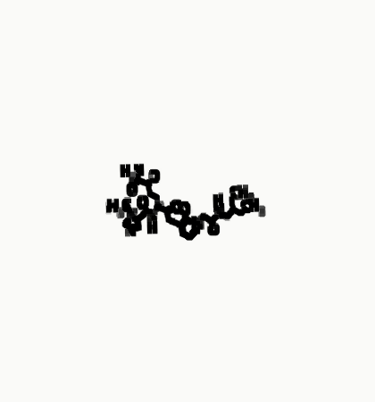 CCC(CC)CNC(=O)Cn1cccc(CC(=O)[C@H](CCC(=O)C(N)=O)NC(=O)c2cncn2C)c1=O